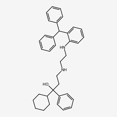 OC(CCNCCNc1ccccc1C(c1ccccc1)c1ccccc1)(c1ccccc1)C1CCCCC1